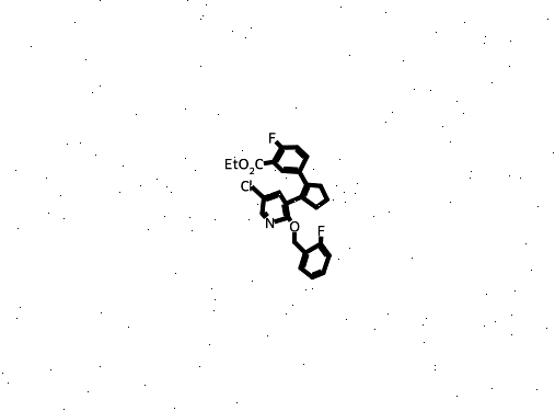 CCOC(=O)c1cc(C2=C(c3cc(Cl)cnc3OCc3ccccc3F)CCC2)ccc1F